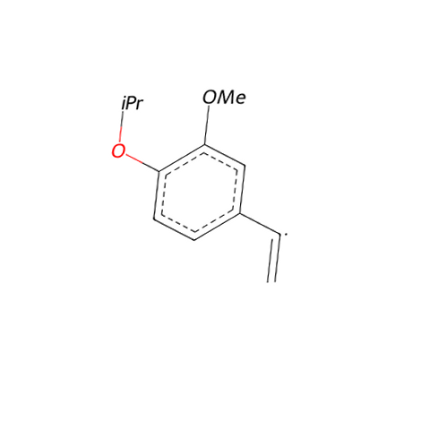 C=[C]c1ccc(OC(C)C)c(OC)c1